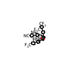 N#Cc1ccc(-c2cc(-n3c4ccccc4c4ccc(-c5ccc(C(F)(F)F)cc5C(F)(F)F)cc43)c(-n3c4ccccc4c4ccc(-c5ccc(C(F)(F)F)cc5C(F)(F)F)cc43)cc2C#N)c(C(F)(F)F)c1